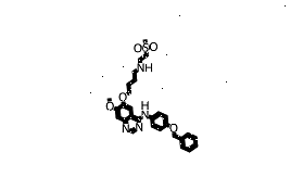 COc1cc2ncnc(Nc3ccc(OCc4ccccc4)cc3)c2cc1OCCCCNCCS(C)(=O)=O